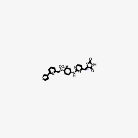 O=C1NC(=O)/C(=C/c2ccnc(N[C@H]3CC[C@H](N(Cc4cccc(-c5ccsc5)n4)C(=O)O)CC3)n2)S1